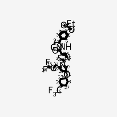 CCS(=O)(=O)c1ccc([C@H](CC#N)NC(=O)c2cnc(N3C[C@@H](OC4CCC(C(F)(F)F)CC4)C[C@H]3COC(F)F)s2)cc1